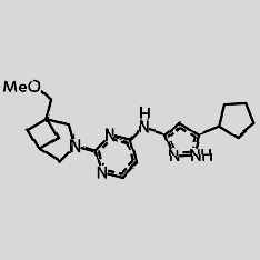 COCC12CC(CN(c3nccc(Nc4cc(C5CCCC5)[nH]n4)n3)C1)C2